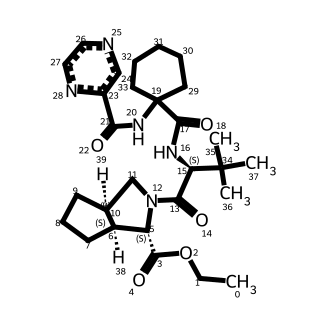 CCOC(=O)[C@@H]1[C@H]2CCC[C@H]2CN1C(=O)[C@@H](NC(=O)C1(NC(=O)c2cnccn2)CCCCC1)C(C)(C)C